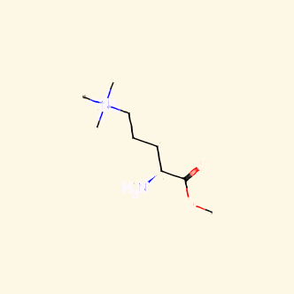 COC(=O)[C@@H](N)CCC[N+](C)(C)C